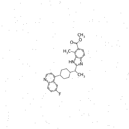 COC(=O)c1ccc2nc(C(C)C3CCC(c4ccnc5ccc(F)cc45)CC3)[nH]c2c1C